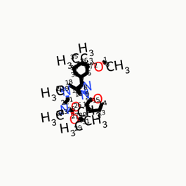 CCOC[C@@H]1CC(c2nn(C3CCCCO3)cc2CN(C)CCN(C)C(=O)OC(C)(C)C)CCC1(C)C